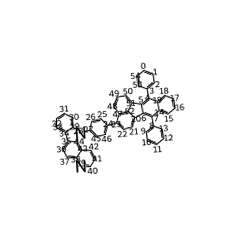 c1ccc(-c2c3c(c(-c4ccccc4)c4ccccc24)-c2ccc(-c4ccc(-n5c6ccccc6c6ccc7ncccc7c65)cc4)c4cccc-3c24)cc1